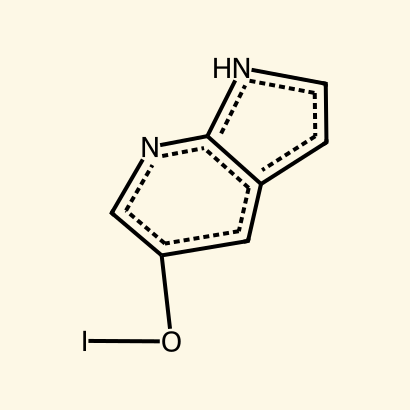 IOc1cnc2[nH]ccc2c1